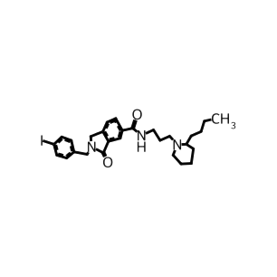 CCCCC1CCCCN1CCCNC(=O)c1ccc2c(c1)C(=O)N(Cc1ccc(I)cc1)C2